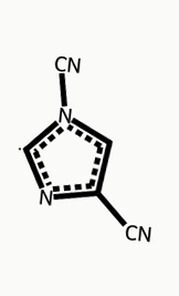 N#Cc1cn(C#N)[c]n1